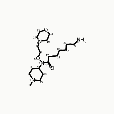 CN1CCC(N(OCCN2CCOCC2)C(=O)CCCCCCN)CC1